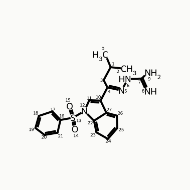 CC(C)CC(=NNC(=N)N)c1cn(S(=O)(=O)c2ccccc2)c2ccccc12